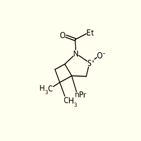 CCCC12C[S+]([O-])N(C(=O)CC)C1CC2(C)C